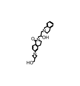 O=C1c2ccc(N3CC(CO)C3)cc2CCN1CC(O)CN1CCc2ccccc2C1